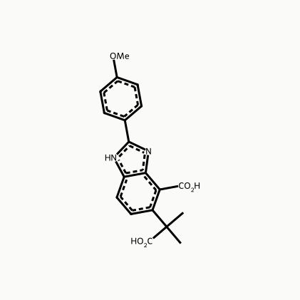 COc1ccc(-c2nc3c(C(=O)O)c(C(C)(C)C(=O)O)ccc3[nH]2)cc1